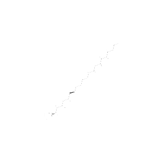 CCCCCCCCCCCCCC/C=C/CCCCCN